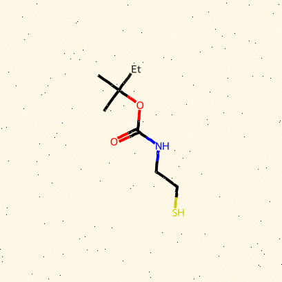 CCC(C)(C)OC(=O)NCCS